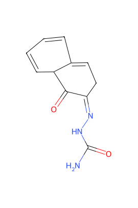 NC(=O)NN=C1CC=C2C=CC=CC2C1=O